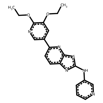 CCOc1cc(-c2ccc3nc(Nc4cccnc4)sc3n2)cnc1OCC